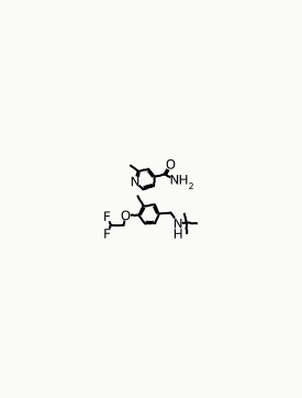 Cc1cc(C(N)=O)ccn1.Cc1cc(CNC(C)(C)C)ccc1OCC(F)F